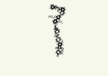 Cc1c(OCC2CC3(CCN(CC(=O)N4CCN(c5cc6c(cc5F)C(=O)N([C@H]5CCC(=O)NC5=O)C6=O)CC4)CC3)C2)cccc1-c1ccc(N2CCc3cccc(C(=O)Nc4nc5ccccc5s4)c3C2)nc1C(=O)O